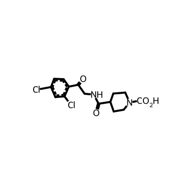 O=C(CNC(=O)C1CCN(C(=O)O)CC1)c1ccc(Cl)cc1Cl